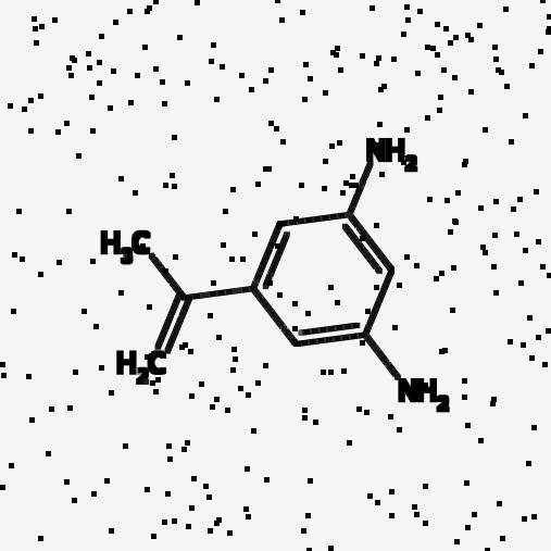 C=C(C)c1cc(N)cc(N)c1